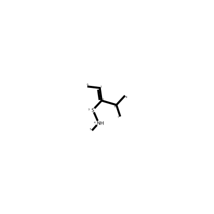 C/C=C(\SNC)C(C)C